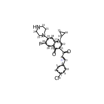 O=C(/C=C/c1ccc(Cl)cc1)c1cn(C2CC2)c2cc(N3CCNCC3)c(F)cc2c1=O